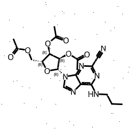 CCCNc1nc(C#N)nc2c1ncn2[C@@H]1O[C@H](COC(C)=O)[C@@H](OC(C)=O)[C@H]1OC(C)=O